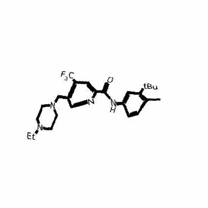 CCN1CCN(Cc2cnc(C(=O)Nc3ccc(C)c(C(C)(C)C)c3)cc2C(F)(F)F)CC1